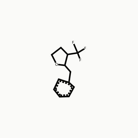 FC(F)(F)C1CCOC1Cc1ccccc1